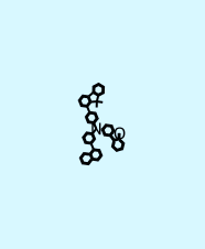 CC1(C)c2ccccc2-c2cccc(-c3ccc(N(c4cccc(-c5cccc6ccccc56)c4)c4ccc5oc6ccccc6c5c4)cc3)c21